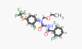 CCOCN(C(=O)NC(=O)c1c(F)cccc1F)c1ccc(SC(F)(F)F)cc1F